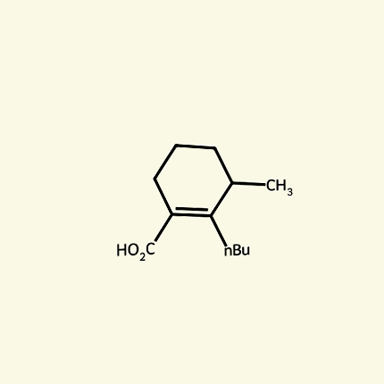 CCCCC1=C(C(=O)O)CCCC1C